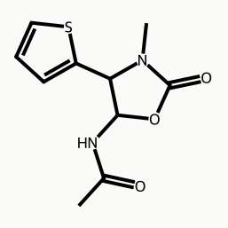 CC(=O)NC1OC(=O)N(C)C1c1cccs1